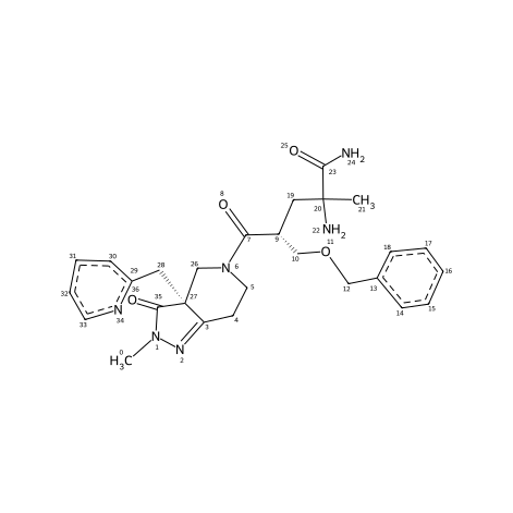 CN1N=C2CCN(C(=O)[C@@H](COCc3ccccc3)CC(C)(N)C(N)=O)C[C@]2(Cc2ccccn2)C1=O